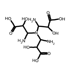 NC(C(O)C(=O)O)N(C(N)C(O)C(=O)O)C(N)C(O)C(=O)O